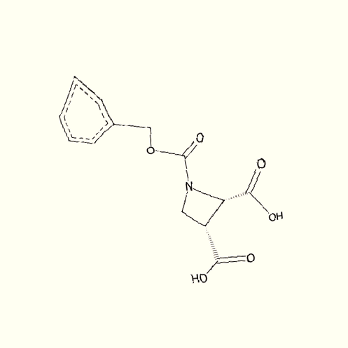 O=C(O)[C@@H]1[C@H](C(=O)O)CN1C(=O)OCc1ccccc1